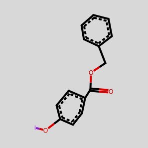 O=C(OCc1ccccc1)c1ccc(OI)cc1